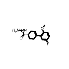 COc1ccc(F)cc1C1=CC[C@@H](C(=O)NN)CC1